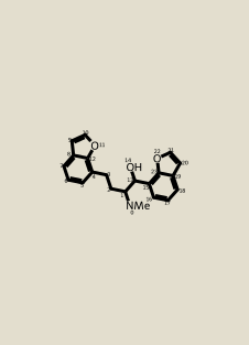 CNC(CCc1cccc2ccoc12)C(O)c1cccc2ccoc12